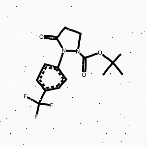 CC(C)(C)OC(=O)N1CCC(=O)N1c1ccc(C(F)(F)F)cc1